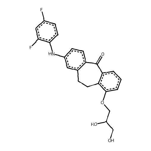 O=C1c2ccc(Nc3ccc(F)cc3F)cc2CCc2c(OCC(O)CO)cccc21